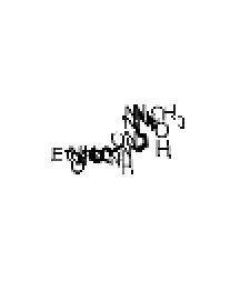 CCNC(=O)N1Cc2cnc(C(=O)Nc3cccc(-c4nnnn4[C@H](C)CO)n3)cc2C1